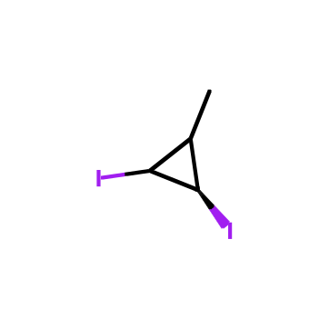 CC1C(I)[C@@H]1I